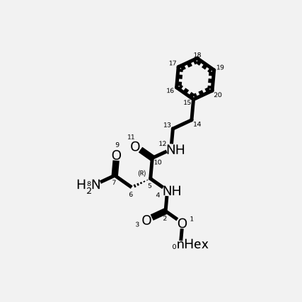 CCCCCCOC(=O)N[C@H](CC(N)=O)C(=O)NCCc1ccccc1